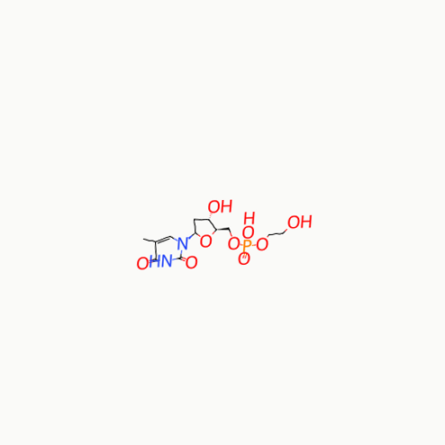 Cc1cn([C@H]2C[C@H](O)[C@@H](COP(=O)(O)OCCO)O2)c(=O)[nH]c1=O